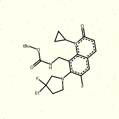 CCC1(F)CCN(c2c(F)cc3ccc(=O)n(C4CC4)c3c2CNC(=O)OC(C)(C)C)C1